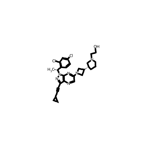 C[C@H](c1ccc(Cl)cc1Cl)n1nc(C#CC2CC2)c2ncc(N3CC([C@H]4CCCN(CCO)C4)C3)nc21